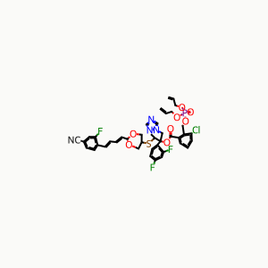 C=CCOP(=O)(OCC=C)OCc1c(Cl)cccc1C(=O)OC(Cn1cncn1)(c1ccc(F)cc1F)C(C)SC1COC(C=CC=Cc2ccc(C#N)cc2F)OC1